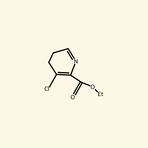 CCOC(=O)C1=C(Cl)CCC=N1